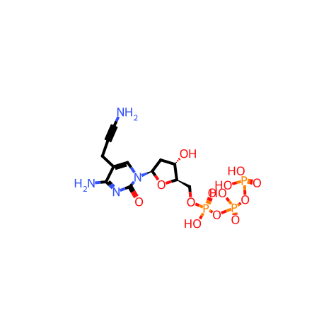 NC#CCc1cn([C@H]2C[C@H](O)[C@@H](COP(=O)(O)OP(=O)(O)OP(=O)(O)O)O2)c(=O)nc1N